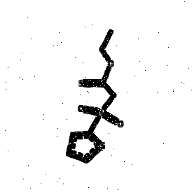 CCOC(=S)CS(=O)(=O)c1cccs1